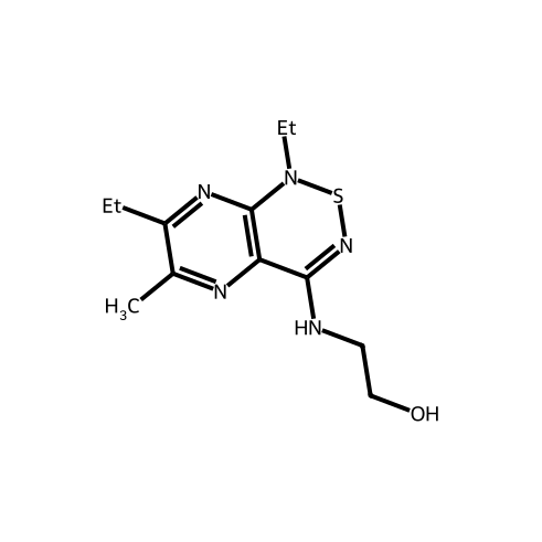 CCc1nc2c(nc1C)C(NCCO)=NSN2CC